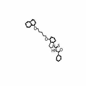 O=C(NC(=S)N1CCc2c(OCCCCCOc3cccc4ccccc34)cccc21)c1ccccc1